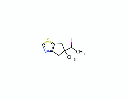 CC(I)C1(C)Cc2ncsc2C1